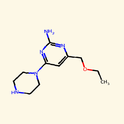 CCOCc1cc(N2CCNCC2)nc(N)n1